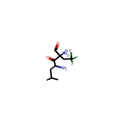 CC(C)CC(N)C(=O)C(N)(C=O)CC(F)(F)F